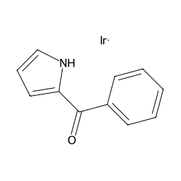 O=C(c1ccccc1)c1ccc[nH]1.[Ir]